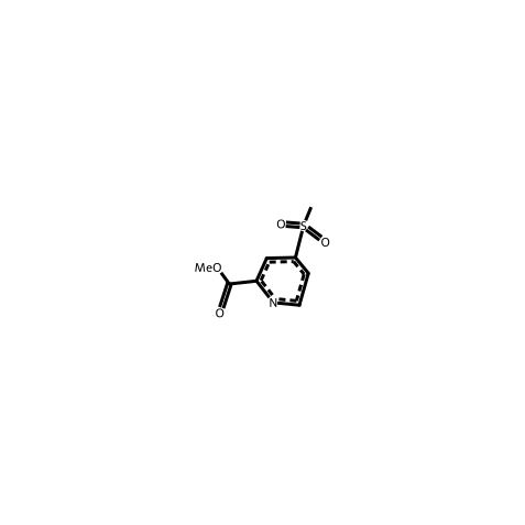 COC(=O)c1cc(S(C)(=O)=O)ccn1